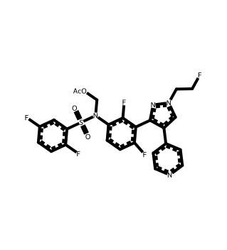 CC(=O)OCN(c1ccc(F)c(-c2nn(CCF)cc2-c2ccncc2)c1F)S(=O)(=O)c1cc(F)ccc1F